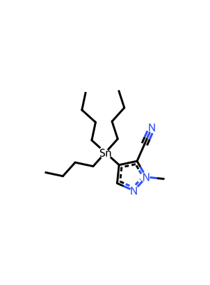 CCC[CH2][Sn]([CH2]CCC)([CH2]CCC)[c]1cnn(C)c1C#N